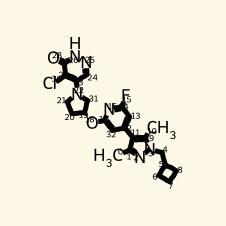 Cc1nn(CC2CCC2)c(C)c1-c1cc(F)nc(O[C@@H]2CCN(c3cn[nH]c(=O)c3Cl)C2)c1